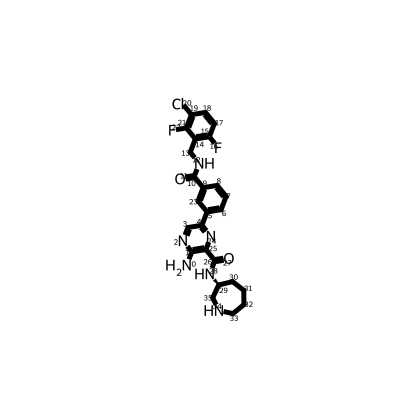 Nc1ncc(-c2cccc(C(=O)NCc3c(F)ccc(Cl)c3F)c2)nc1C(=O)N[C@H]1CCCCNC1